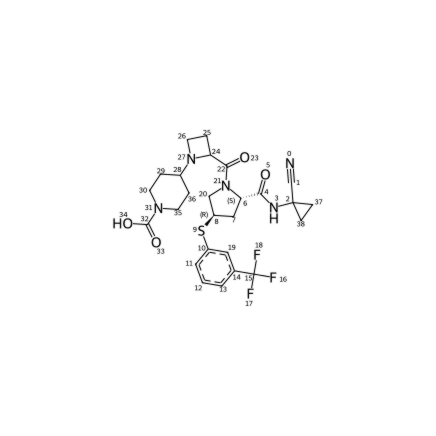 N#CC1(NC(=O)[C@@H]2C[C@@H](Sc3cccc(C(F)(F)F)c3)CN2C(=O)C2CCN2C2CCN(C(=O)O)CC2)CC1